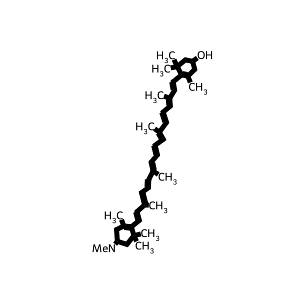 CNC1CC(C)=C(/C=C/C(C)=C/C=C/C(C)=C/C=C/C=C(C)/C=C/C=C(C)/C=C/C2=C(C)CC(O)CC2(C)C)C(C)(C)C1